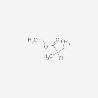 C[CH]C(C)(Cl)C(=O)OCC